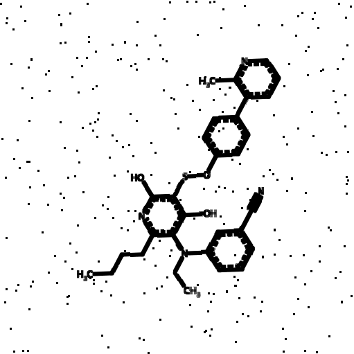 CCCCc1nc(O)c(SOc2ccc(-c3cccnc3C)cc2)c(O)c1N(CC)c1cccc(C#N)c1